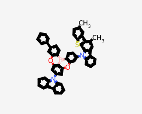 Cc1ccc2sc3c(c(C)cc4c5ccccc5n(-c5ccc6c(c5)Oc5cc(-n7c8ccccc8c8ccccc87)cc7c5B6c5ccc(-c6ccccc6)cc5O7)c43)c2c1